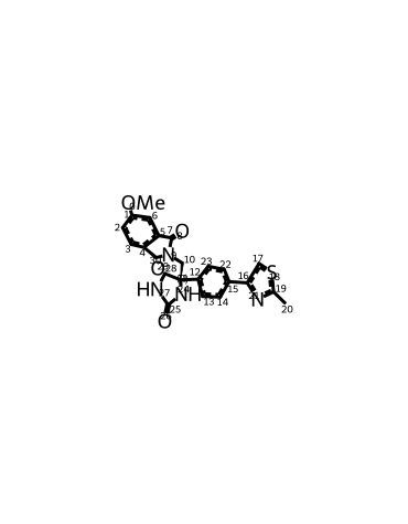 COc1ccc2c(c1)C(=O)N(C[C@@]1(c3ccc(-c4csc(C)n4)cc3)NC(=O)NC1=O)C2